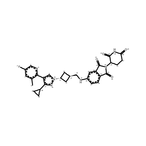 Cc1cc(F)cnc1-c1cn([C@H]2C[C@H](CNc3ccc4c(c3)C(=O)N(C3CCC(=O)NC3=O)C4=O)C2)nc1C1CC1